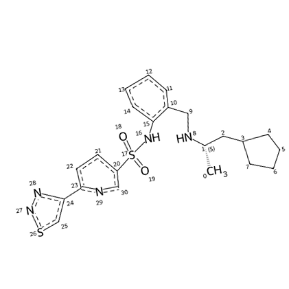 C[C@@H](CC1CCCC1)NCc1ccccc1NS(=O)(=O)c1ccc(-c2csnn2)nc1